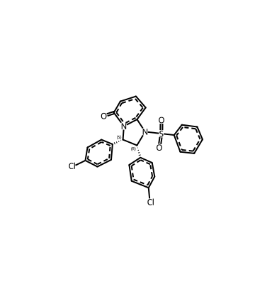 O=c1cccc2n1[C@@H](c1ccc(Cl)cc1)[C@@H](c1ccc(Cl)cc1)N2S(=O)(=O)c1ccccc1